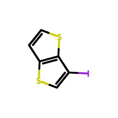 Ic1csc2ccsc12